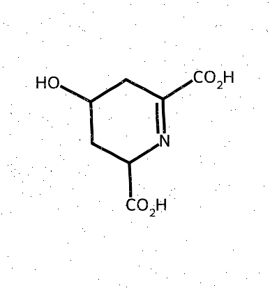 O=C(O)C1=NC(C(=O)O)CC(O)C1